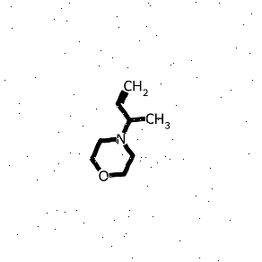 C=C[C](C)N1CCOCC1